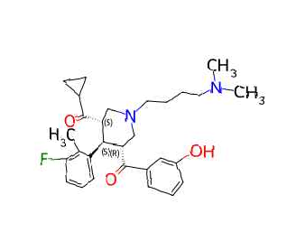 Cc1c(F)cccc1[C@@H]1[C@@H](C(=O)c2cccc(O)c2)CN(CCCCN(C)C)C[C@H]1C(=O)C1CC1